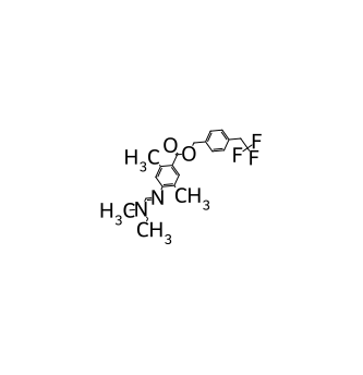 CCN(C)/C=N/c1cc(C)c(C(=O)OCc2ccc(CC(F)(F)F)cc2)cc1C